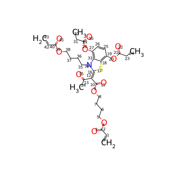 C=CC(=O)OCCCCOC(=O)/C(C(C)=O)=C1\Sc2c(OC(=O)CC)ccc(OC(=O)CC)c2N1CCCCOC(=O)C=C